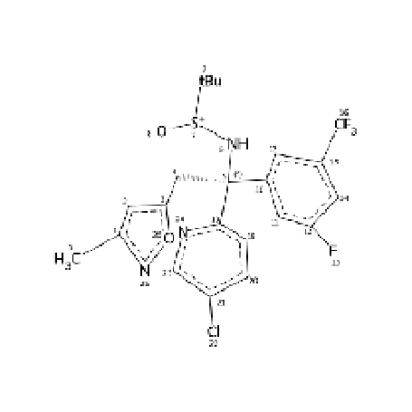 Cc1cc(C[C@](N[S+]([O-])C(C)(C)C)(c2cc(F)cc(C(F)(F)F)c2)c2ccc(Cl)cn2)on1